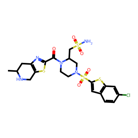 CC1Cc2nc(C(=O)N3CCN(S(=O)(=O)c4cc5ccc(Cl)cc5s4)CC3CS(N)(=O)=O)sc2CN1